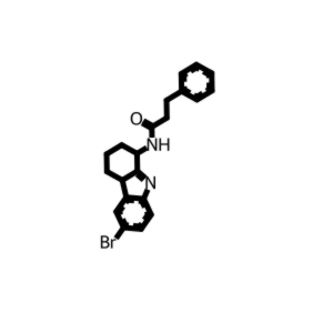 O=C(CCc1ccccc1)NC1CCCC2C1=Nc1ccc(Br)cc12